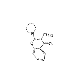 O=Cc1c(N2CCCCC2)oc2ccccc2c1=O